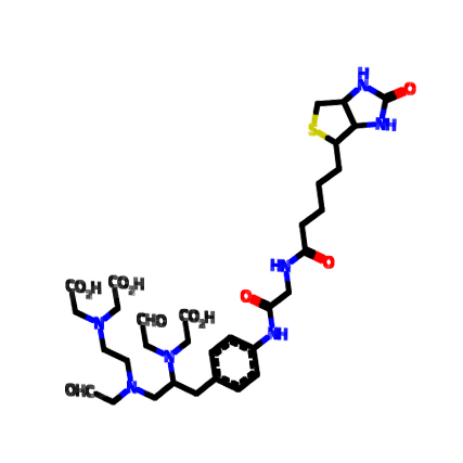 O=CCN(CCN(CC(=O)O)CC(=O)O)CC(Cc1ccc(NC(=O)CNC(=O)CCCCC2SCC3NC(=O)NC32)cc1)N(CC=O)CC(=O)O